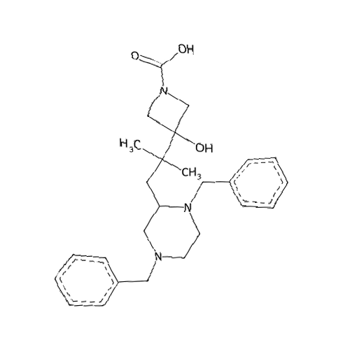 CC(C)(CC1CN(Cc2ccccc2)CCN1Cc1ccccc1)C1(O)CN(C(=O)O)C1